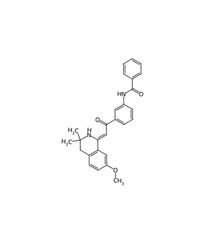 COc1ccc2c(c1)/C(=C/C(=O)c1cccc(NC(=O)c3ccccc3)c1)NC(C)(C)C2